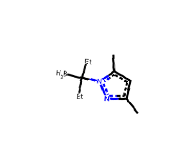 BC(CC)(CC)n1nc(C)cc1C